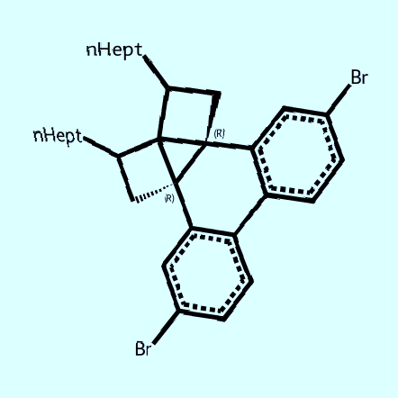 CCCCCCCC1C[C@@]23c4cc(Br)ccc4-c4ccc(Br)cc4[C@]24CC(CCCCCCC)C134